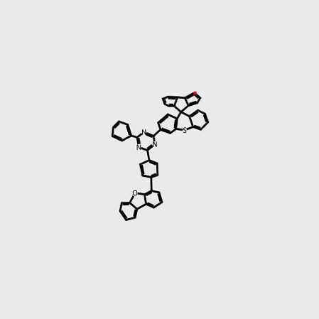 c1ccc(-c2nc(-c3ccc(-c4cccc5c4oc4ccccc45)cc3)nc(-c3ccc4c(c3)Sc3ccccc3C43c4ccccc4-c4ccccc43)n2)cc1